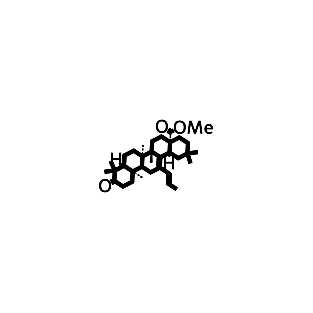 C/C=C/C1=C2[C@@H]3CC(C)(C)CC[C@]3(C(=O)OC)CC[C@@]2(C)[C@]2(C)CC[C@H]3C(C)(C)C(=O)CC[C@]3(C)C2C1